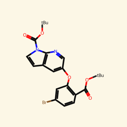 CC(C)(C)OC(=O)c1ccc(Br)cc1Oc1cnc2c(ccn2C(=O)OC(C)(C)C)c1